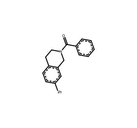 CC(C)c1ccc2c(c1)CN(C(=O)c1ccccc1)CC2